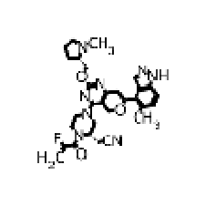 C=C(F)C(=O)N1CCN(c2nc(OC[C@@H]3CCCN3C)nc3c2COC(c2c(C)ccc4[nH]ncc24)C3)C[C@@H]1CC#N